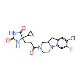 O=C1NC(=O)[C@](CCC(=O)N2CCN3c4cc(F)c(Cl)cc4CC3C2)(C2CC2)N1